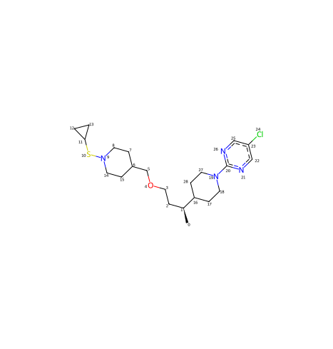 C[C@@H](CCOCC1CCN(SC2CC2)CC1)C1CCN(c2ncc(Cl)cn2)CC1